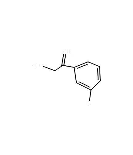 C=C(CC(Cl)(Cl)Cl)c1cccc(Br)c1